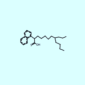 CCCCC(CCC)CCCCCC(C(O)=S)c1cccc2ccccc12